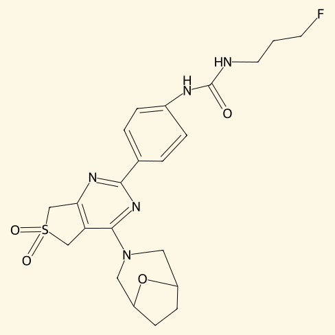 O=C(NCCCF)Nc1ccc(-c2nc3c(c(N4CC5CCC(C4)O5)n2)CS(=O)(=O)C3)cc1